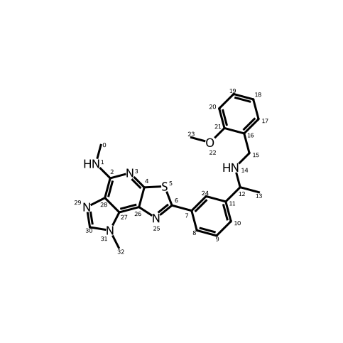 CNc1nc2sc(-c3cccc(C(C)NCc4ccccc4OC)c3)nc2c2c1ncn2C